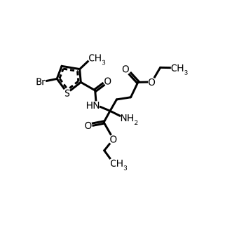 CCOC(=O)CCC(N)(NC(=O)c1sc(Br)cc1C)C(=O)OCC